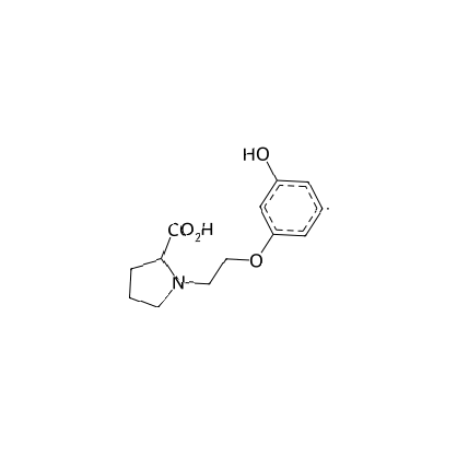 O=C(O)C1CCCN1CCOc1c[c]cc(O)c1